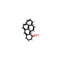 OC1CCCc2cc3ccc4cccc5ccc(c21)c3c45